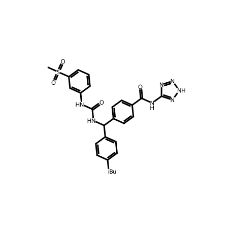 CCC(C)c1ccc(C(NC(=O)Nc2cccc(S(C)(=O)=O)c2)c2ccc(C(=O)Nc3nn[nH]n3)cc2)cc1